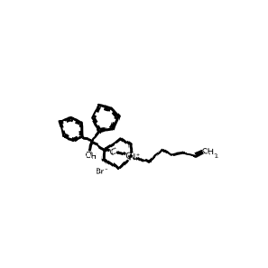 C=CCCCC[N+]12CCC(C(O)(c3ccccc3)c3ccccc3)(CC1)CC2.[Br-]